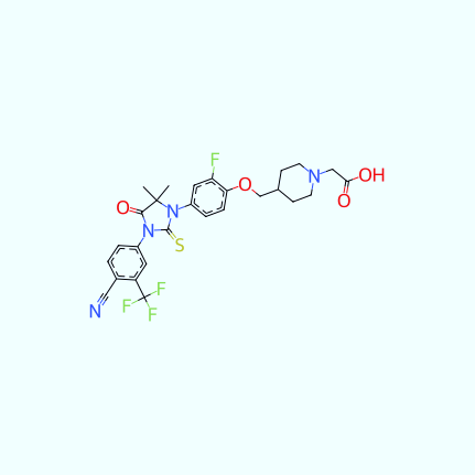 CC1(C)C(=O)N(c2ccc(C#N)c(C(F)(F)F)c2)C(=S)N1c1ccc(OCC2CCN(CC(=O)O)CC2)c(F)c1